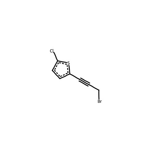 Clc1ccc(C#CCBr)s1